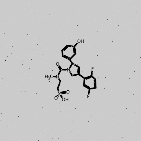 CN(CCS(=O)(=O)O)C(=O)N1CC(c2cc(F)ccc2F)=CC1c1cccc(O)c1